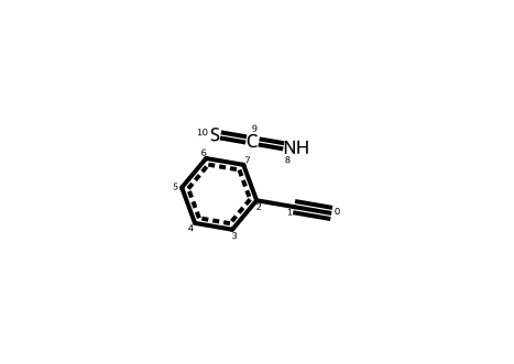 C#Cc1ccccc1.N=C=S